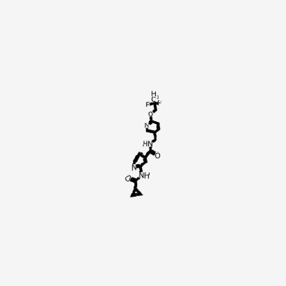 CC(F)(F)COc1ccc(CNC(=O)c2ccnc(NC(=O)C3CC3)c2)cn1